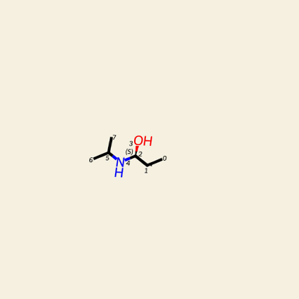 C[CH][C@H](O)NC(C)C